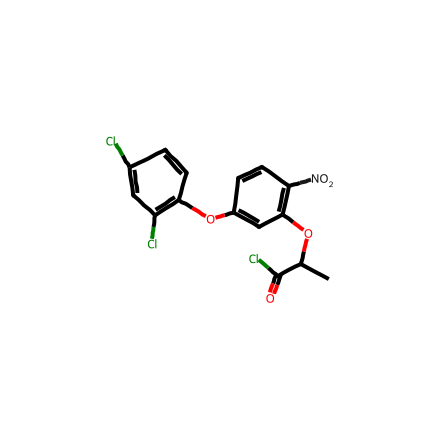 CC(Oc1cc(Oc2ccc(Cl)cc2Cl)ccc1[N+](=O)[O-])C(=O)Cl